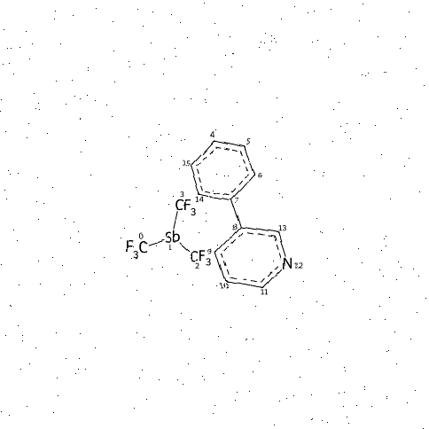 F[C](F)(F)[Sb]([C](F)(F)F)[C](F)(F)F.c1ccc(-c2cccnc2)cc1